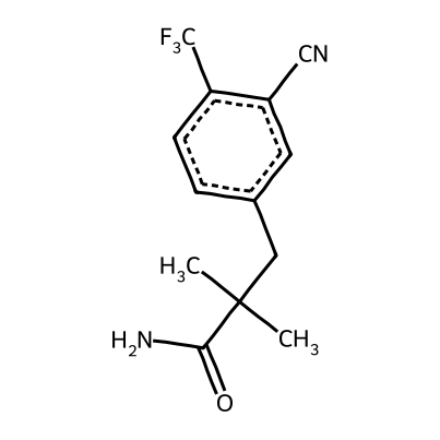 CC(C)(Cc1ccc(C(F)(F)F)c(C#N)c1)C(N)=O